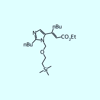 CCCC/C(=C\C(=O)OCC)c1cnc(CCCC)n1COCC[Si](C)(C)C